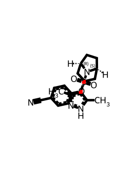 Cc1n[nH]c(C)c1S(=O)(=O)N1[C@@H]2CC[C@H]1C[C@H](Oc1ccc(C#N)cc1)C2